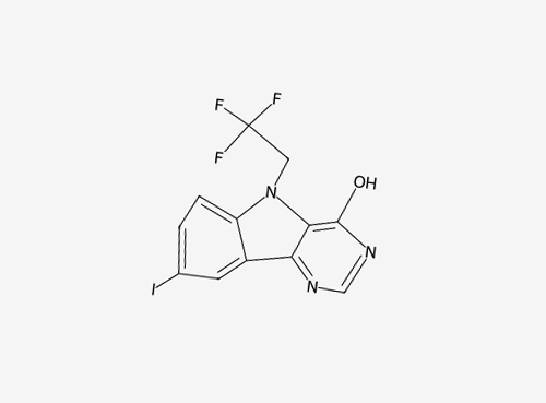 Oc1ncnc2c3cc(I)ccc3n(CC(F)(F)F)c12